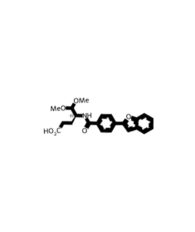 COC(OC)[C@H](CCC(=O)O)NC(=O)c1ccc(-c2cc3ccccc3o2)cc1